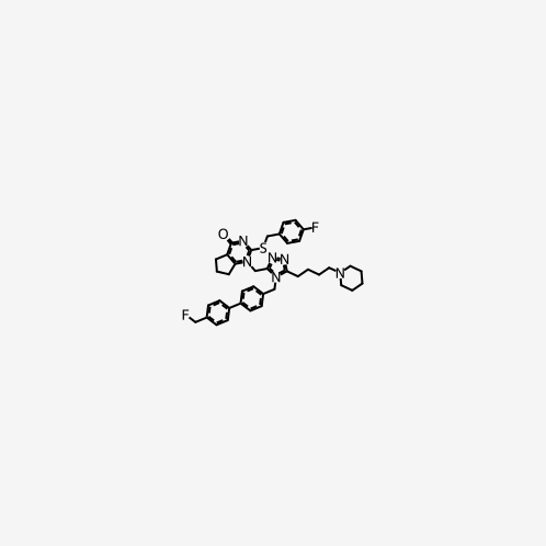 O=c1nc(SCc2ccc(F)cc2)n(Cc2nnc(CCCCN3CCCCC3)n2Cc2ccc(-c3ccc(CF)cc3)cc2)c2c1CCC2